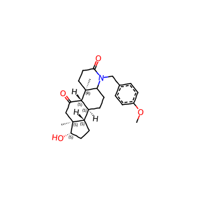 COc1ccc(CN2C(=O)CC[C@@]3(C)C2CC[C@H]2[C@@H]4CC[C@H](O)[C@@]4(C)CC(=O)[C@@H]23)cc1